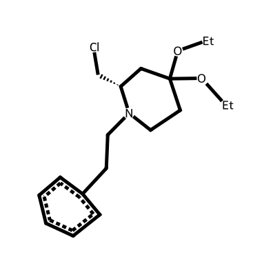 CCOC1(OCC)CCN(CCc2ccccc2)[C@H](CCl)C1